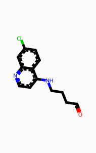 O=CCCCNc1ccnc2cc(Cl)ccc12